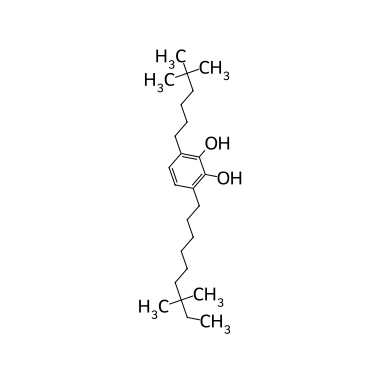 CCC(C)(C)CCCCCCc1ccc(CCCCC(C)(C)C)c(O)c1O